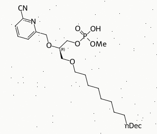 CCCCCCCCCCCCCCCCCCOC[C@H](COP(=O)(O)OC)OCc1cccc(C#N)n1